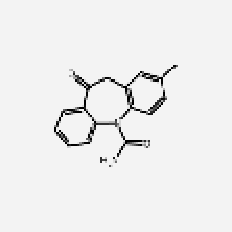 Cc1ccc2c(c1)CC(=O)c1ccccc1N2C(N)=O